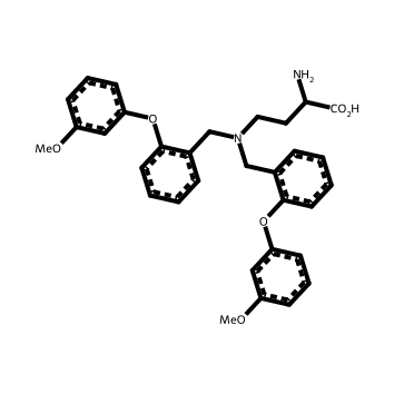 COc1cccc(Oc2ccccc2CN(CCC(N)C(=O)O)Cc2ccccc2Oc2cccc(OC)c2)c1